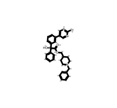 CCc1ncc(-c2cccc([C@](O)(C(=O)OCC3CCN(Cc4ccccc4)CC3)c3ccccc3)c2)cn1